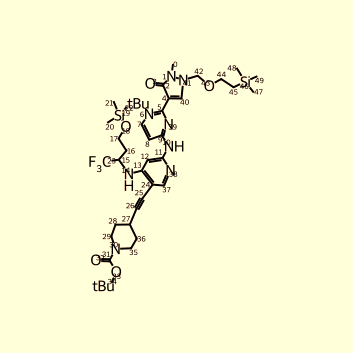 Cn1c(=O)c(-c2nccc(Nc3cc(NC(CCO[Si](C)(C)C(C)(C)C)C(F)(F)F)c(C#CC4CCN(C(=O)OC(C)(C)C)CC4)cn3)n2)cn1COCC[Si](C)(C)C